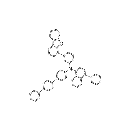 c1ccc(-c2ccc(-c3ccc(N(c4cccc(-c5cccc6c5oc5ccccc56)c4)c4ccc(-c5ccccc5)c5ccccc45)cc3)cc2)cc1